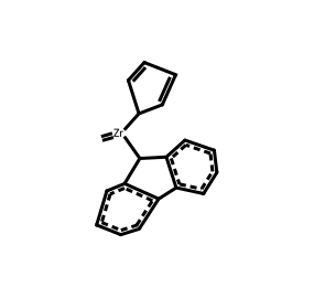 [CH2]=[Zr]([CH]1C=CC=C1)[CH]1c2ccccc2-c2ccccc21